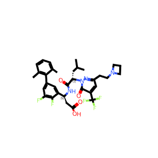 Cc1cccc(C)c1-c1cc(F)c(F)c([C@H](CC(=O)O)NC(=O)[C@H](CC(C)C)n2nc(CCN3CCC3)cc(C(F)(F)F)c2=O)c1